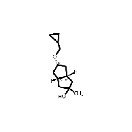 CC1(O)C[C@H]2C[C@@H](OCC3CC3)C[C@H]2C1